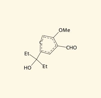 CCC(O)(CC)c1ccc(OC)c(C=O)c1